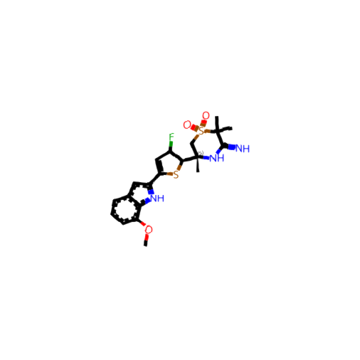 COc1cccc2cc(C3=CC(F)C([C@]4(C)CS(=O)(=O)C(C)(C)C(=N)N4)S3)[nH]c12